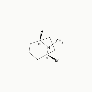 CN1[C@@H]2CCC[C@@]1(Br)CC2